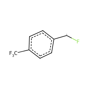 F[CH]c1ccc(C(F)(F)F)cc1